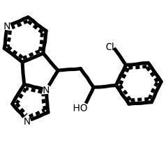 OC(CC1c2ccncc2-c2cncn21)c1ccccc1Cl